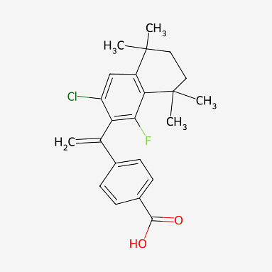 C=C(c1ccc(C(=O)O)cc1)c1c(Cl)cc2c(c1F)C(C)(C)CCC2(C)C